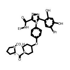 CCNC(=O)c1nnc(-c2cc(C(C)C)c(O)cc2O)n1-c1ccc(OC2CCN(C(=O)[C@@H]3CCCN3C(=O)O)CC2)cc1